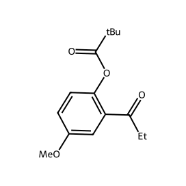 CCC(=O)c1cc(OC)ccc1OC(=O)C(C)(C)C